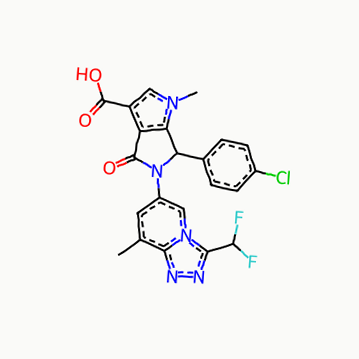 Cc1cc(N2C(=O)c3c(C(=O)O)cn(C)c3C2c2ccc(Cl)cc2)cn2c(C(F)F)nnc12